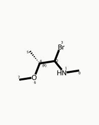 CNC(Br)[C@@H](C)OC